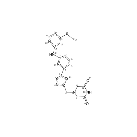 O=C1CN(Cc2ncc(-c3cccc(Nc4cc(CF)ccn4)n3)s2)CC(=O)N1